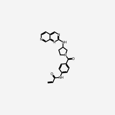 C=CC(=O)Nc1ccc(C(=O)N2CCC(Nc3ncc4ccncc4n3)C2)cc1